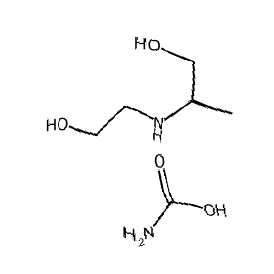 CC(CO)NCCO.NC(=O)O